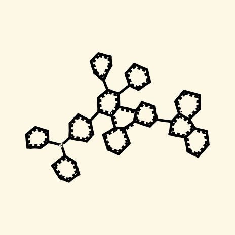 c1ccc(-c2cc(-c3ccc(N(c4ccccc4)c4ccccc4)cc3)c3c4ccccc4c4cc(-c5cc6ccccc6c6ccccc56)ccc4c3c2-c2ccccc2)cc1